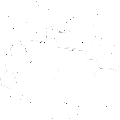 COC(=O)CCCC#CCN1C(=O)CC[C@@H]1C=C[C@@H](O)[C@@H](C)CCCc1ccccc1